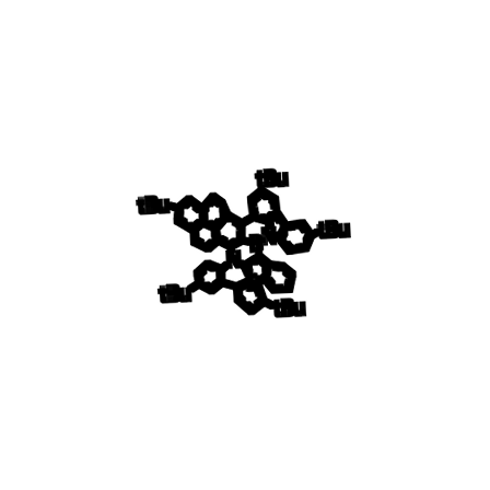 CC(C)(C)c1ccc(-c2cc(C(C)(C)C)ccc2N2c3sc4ccccc4c3B3c4c(c5ccc6cc(C(C)(C)C)cc7ccc(c42)c5c67)-c2cc(C(C)(C)C)cc4c5cc(C(C)(C)C)ccc5n3c24)cc1